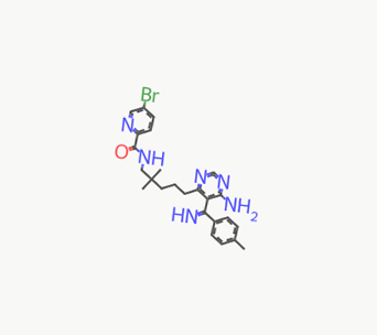 Cc1ccc(C(=N)c2c(N)ncnc2CCCC(C)(C)CNC(=O)c2ccc(Br)cn2)cc1